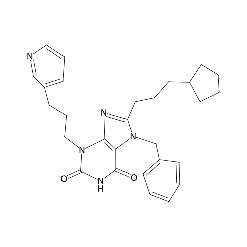 O=c1[nH]c(=O)n(CCCc2cccnc2)c2nc(CCCC3CCCC3)n(Cc3ccccc3)c12